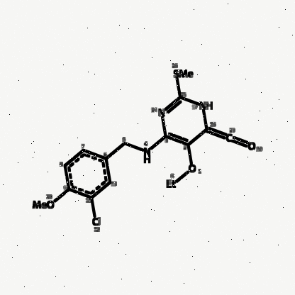 CCOC1=C(NCc2ccc(OC)c(Cl)c2)N=C(SC)NC1=C=O